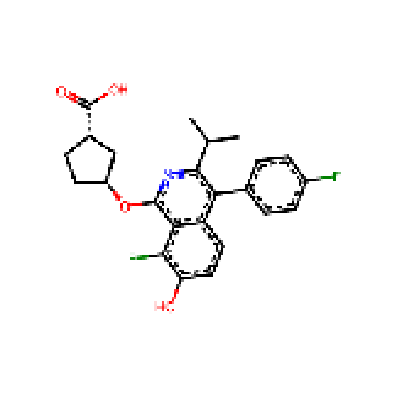 CC(C)c1nc(O[C@H]2CC[C@H](C(=O)O)C2)c2c(F)c(O)ccc2c1-c1ccc(F)cc1